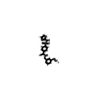 O=C(NCc1cccc(OC(F)(F)F)c1)c1ccc(S(=O)(=O)Nc2nccs2)cc1